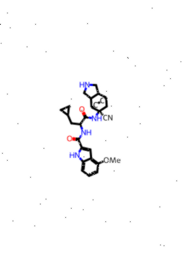 COc1cccc2[nH]c(C(=O)NC(CC3CC3)C(=O)NC3(C#N)CC4CCC3C3CNCC43)cc12